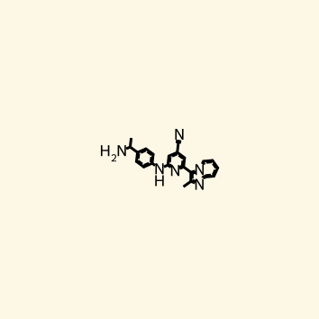 Cc1nc2ccccn2c1-c1cc(C#N)cc(Nc2ccc(C(C)N)cc2)n1